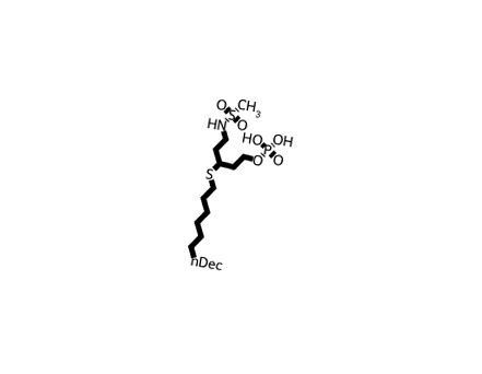 CCCCCCCCCCCCCCCCSC(CCNS(C)(=O)=O)CCOP(=O)(O)O